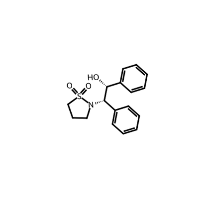 O=S1(=O)CCCN1[C@@H](c1ccccc1)[C@H](O)c1ccccc1